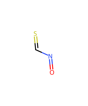 O=NC=S